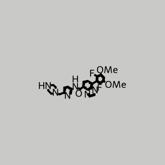 COc1cc(OC)c(F)c(-c2ccc(C(=O)Nc3ccc(CN4CCNCC4)nc3)c3nccnc23)c1F